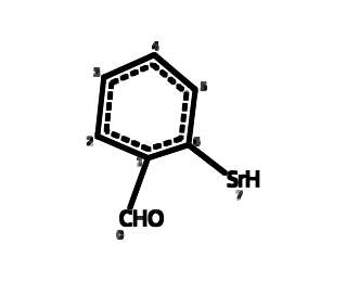 O=Cc1cccc[c]1[SrH]